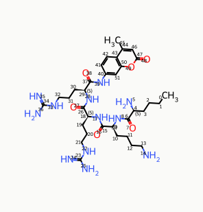 CCCC[C@H](N)C(=O)N[C@@H](CCCCN)C(=O)N[C@@H](CCCNC(=N)N)C(=O)N[C@@H](CCCNC(=N)N)C(=O)Nc1ccc2c(C)cc(=O)oc2c1